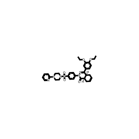 CCOc1ccc(C2=NN(c3ccc(S(=O)(=O)N4CCN(c5ccccn5)CC4)cc3)C(=O)[C@@H]3CC=CC[C@H]23)cc1OCC